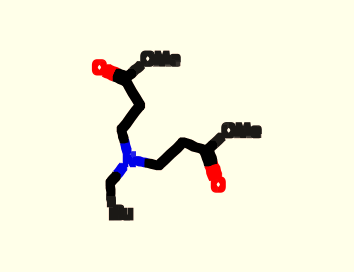 CCC(C)CN(CCC(=O)OC)CCC(=O)OC